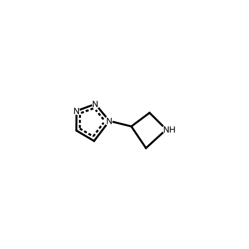 c1cn(C2CNC2)nn1